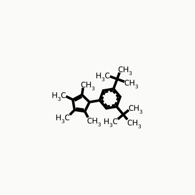 CC1=C(C)C(c2cc(C(C)(C)C)cc(C(C)(C)C)c2)C(C)=C1C